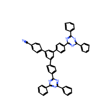 N#Cc1ccc(-c2cc(-c3ccc(-c4nc(-c5ccccc5)nc(-c5ccccc5)n4)cc3)cc(-c3ccc(-c4nc(-c5ccccc5)nc(-c5ccccc5)n4)cc3)c2)cc1